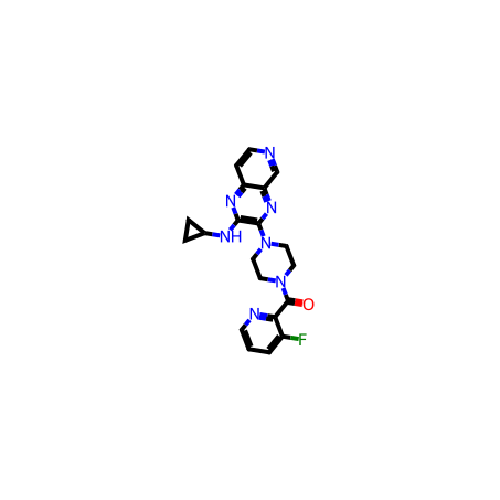 O=C(c1ncccc1F)N1CCN(c2nc3cnccc3nc2NC2CC2)CC1